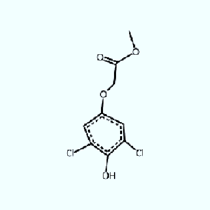 COC(=O)COc1cc(Cl)c(O)c(Cl)c1